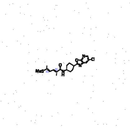 CS/C(C)=C/C=C(\C)C(=O)NC1CCC(c2nc3cc(Cl)cnc3o2)CC1